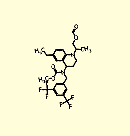 CCc1ccc2c(c1)C(N(Cc1cc(C(F)(F)F)cc(C(F)(F)F)c1)C(=O)OC)CCN2C(C)COC=O